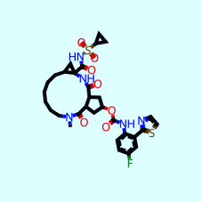 CN1CCCCCCC2CC2(C(=O)NS(=O)(=O)C2CC2)NC(=O)C2CC(OC(=O)Nc3ccc(F)cc3-c3nccs3)CC2C1=O